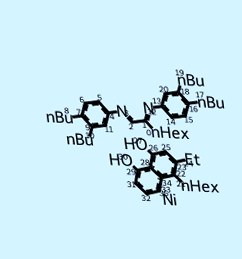 CCCCCCC(C=Nc1ccc(CCCC)c(CCCC)c1)=Nc1ccc(CCCC)c(CCCC)c1.CCCCCCc1c(CC)cc(O)c2c(O)cccc12.[Ni]